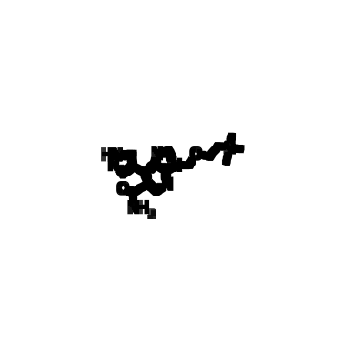 C[Si](C)(C)CCOCn1cnc2c(-c3cn[nH]c3)c(C(N)=O)cnc21